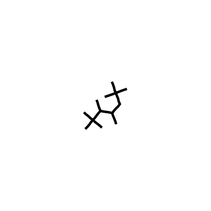 CC(CC(C)(C)C)C(C)C(C)(C)C